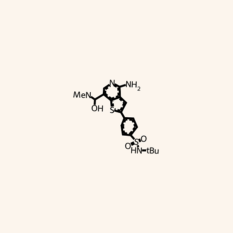 CNC(O)c1cnc(N)c2cc(-c3ccc(S(=O)(=O)NC(C)(C)C)cc3)sc12